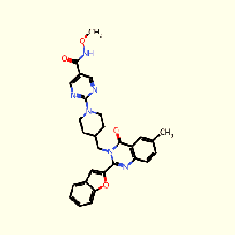 CONC(=O)c1cnc(N2CCC(Cn3c(-c4cc5ccccc5o4)nc4ccc(C)cc4c3=O)CC2)nc1